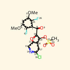 COc1cc(OC)c(F)c(C(=O)c2oc3cnc(Cl)cc3c2OS(C)(=O)=O)c1F